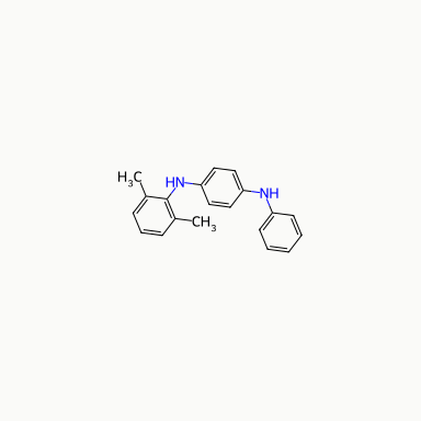 Cc1cccc(C)c1Nc1ccc(Nc2ccccc2)cc1